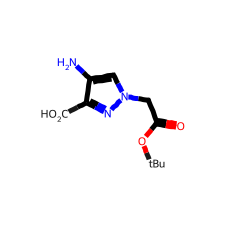 CC(C)(C)OC(=O)Cn1cc(N)c(C(=O)O)n1